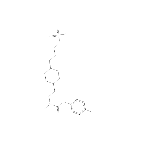 CN(CCC1CCC(CCCOS(C)(=O)=O)CC1)C(=O)Oc1ccc(C(F)(F)F)cc1